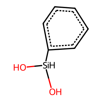 O[SiH](O)c1ccccc1